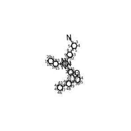 N#Cc1cccc(-c2ccc(-c3nc(-c4ccc5ccccc5c4)nc(-c4ccc5c(c4)oc4cccc(-c6ccc(-c7ccccc7)cc6)c45)n3)cc2)c1